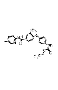 Cc1ccc(NC(=O)c2ccc(Sc3ccc(NC(=O)OCC(Cl)(Cl)Cl)cc3)c([N+](=O)[O-])c2)nc1